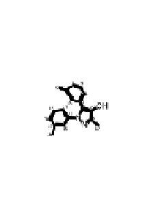 Cc1cccc(-c2c(O)c(C)nn2-c2cccc(C)c2)c1